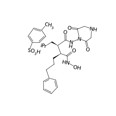 CC(C)C[C@@H](C(=O)NN1C(=O)CNCC1=O)[C@H](CCCc1ccccc1)C(=O)NO.Cc1ccc(S(=O)(=O)O)cc1